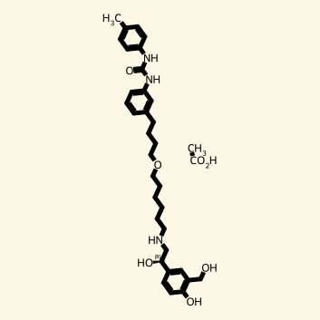 CC(=O)O.Cc1ccc(NC(=O)Nc2cccc(CCCCOCCCCCCNC[C@H](O)c3ccc(O)c(CO)c3)c2)cc1